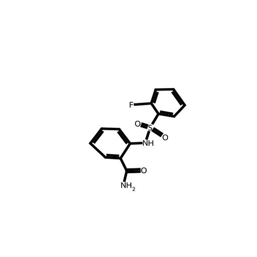 NC(=O)c1ccccc1NS(=O)(=O)c1ccccc1F